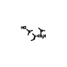 CC=C(C)C(=O)O.CN(C)C.CN(C)C.Cl